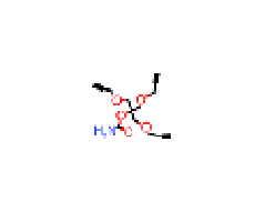 C#CCOCC(COCC#C)(COCC#C)OC(N)=O